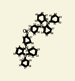 [O-][S+](c1ccc(N2c3ccccc3N(c3ccccc3)c3ccccc32)cc1)c1ccc(N2c3ccccc3N(c3ccccc3)c3ccccc32)cc1